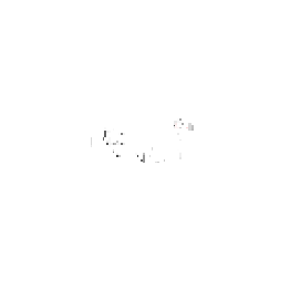 CC(C)NC(=O)NC1CCN(c2ccc(C(=O)N3CC4CCC(CC4)C3)cc2)C1